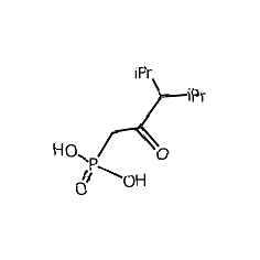 CC(C)C(C(=O)CP(=O)(O)O)C(C)C